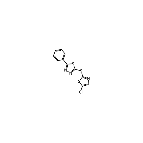 Clc1cnc(Sc2nnc(-c3ccccc3)s2)s1